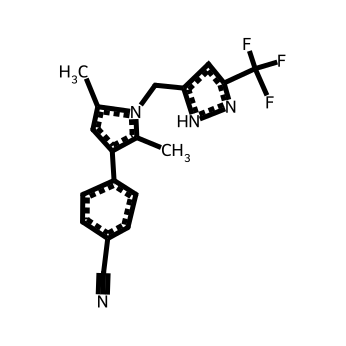 Cc1cc(-c2ccc(C#N)cc2)c(C)n1Cc1cc(C(F)(F)F)n[nH]1